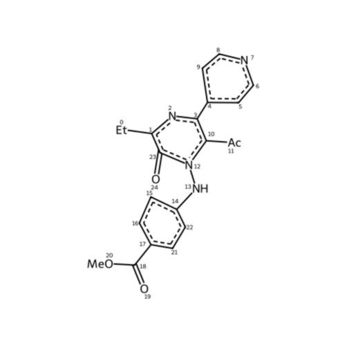 CCc1nc(-c2ccncc2)c(C(C)=O)n(Nc2ccc(C(=O)OC)cc2)c1=O